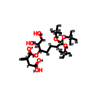 C=C(CC(=O)O)C(=O)OC(CCC[Si](O[Si](C)(C)C)(O[Si](C)(C)C)O[Si](C)(C)C)C(O)CO